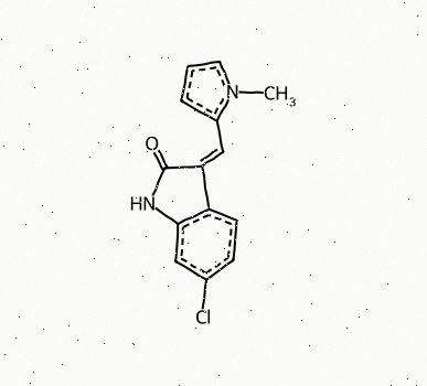 Cn1cccc1C=C1C(=O)Nc2cc(Cl)ccc21